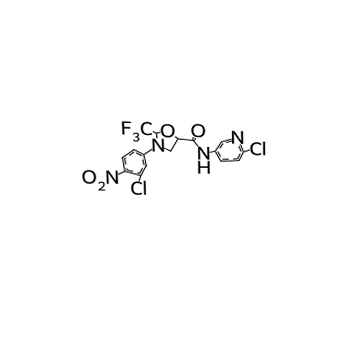 O=C(Nc1ccc(Cl)nc1)C1CN(c2ccc([N+](=O)[O-])c(Cl)c2)C(C(F)(F)F)O1